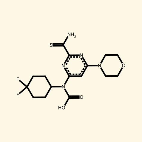 NC(=S)c1nc(N2CCOCC2)cc(N(C(=O)O)C2CCC(F)(F)CC2)n1